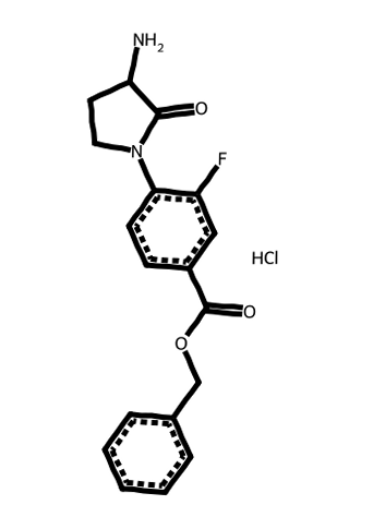 Cl.NC1CCN(c2ccc(C(=O)OCc3ccccc3)cc2F)C1=O